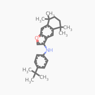 CC(C)(C)c1ccc(Nc2coc3cc4c(cc23)C(C)(C)CCC4(C)C)cc1